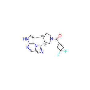 C[C@@H]1CCN(C(=O)C2CC(F)(F)C2)C[C@@H]1c1ncc2cnc3[nH]ccc3n12